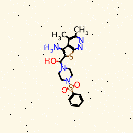 Cc1nnc2sc(C(O)N3CCN(S(=O)(=O)c4ccccc4)CC3)c(N)c2c1C